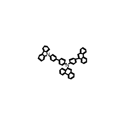 c1ccc2c(c1)cc(-c1ccc(N(c3ccc(-c4ccc(-n5c6ccccc6c6ccccc65)cc4)cc3)c3cc4ccccc4c4ccccc34)cc1)c1ccccc12